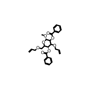 C=CCOCC1O[C@H](OC)C(OC(=O)c2ccccc2)C(OCC=C)[C@@H]1OC(=O)c1ccccc1